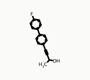 CC(O)C#Cc1ccc(-c2ccc(F)cc2)cc1